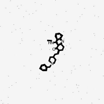 CCNc1c2c(nc3ccccc13)CCC(=CCC1CCN(Cc3ccccc3)CC1)C2=O